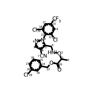 CC(ONCc1c(C#N)cnn1-c1c(Cl)cc(C(F)(F)F)cc1Cl)C(=O)OCc1cccc(Cl)c1